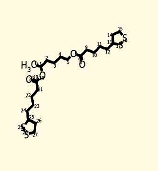 CC(CCCCOC(=O)CCCCC1CCSS1)OC(=O)CCCCC1CCSS1